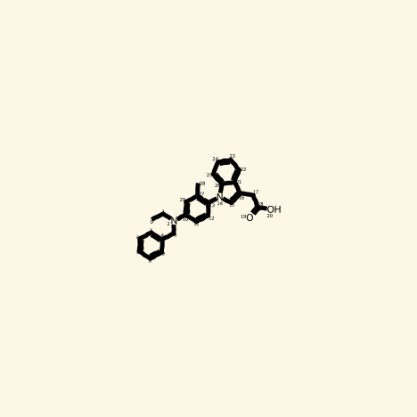 CCN(Cc1ccccc1)c1ccc(-n2cc(CC(=O)O)c3ccccc32)c(C)c1